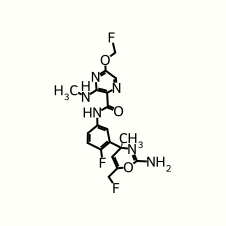 CNc1nc(OCF)cnc1C(=O)Nc1ccc(F)c([C@]2(C)C=C(CF)OC(N)=N2)c1